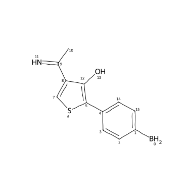 Bc1ccc(-c2scc(C(C)=N)c2O)cc1